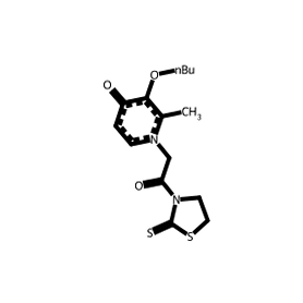 CCCCOc1c(C)n(CC(=O)N2CCSC2=S)ccc1=O